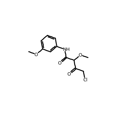 COc1cccc(NC(=O)C(OC)C(=O)CCl)c1